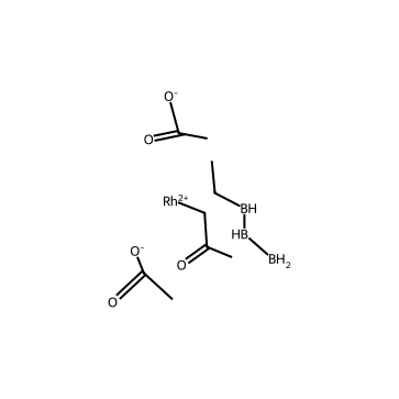 BBBCC.CC(=O)[CH2][Rh+2].CC(=O)[O-].CC(=O)[O-]